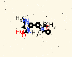 CCC1c2ccccc2OC(C)(C)CN1Cc1cccc(-c2cccc(-n3ncc(C(=O)O)c3[C@@H]3C[C@H]3c3cn(C)nn3)c2)c1